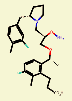 Cc1ccc(C[C@@H]2CCCN2C[C@H](CO[C@H](C)c2ccc(F)c(C)c2CCC(=O)O)ON)cc1F